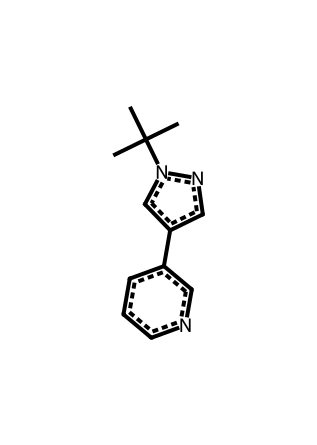 CC(C)(C)n1cc(-c2cccnc2)cn1